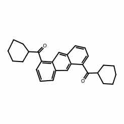 O=C(c1cccc2cc3c(C(=O)C4CCCCC4)cccc3cc12)C1CCCCC1